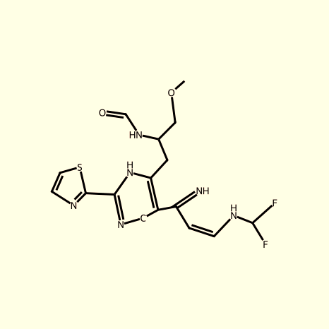 COCC(CC1=C(C(=N)/C=C\NC(F)F)CN=C(c2nccs2)N1)NC=O